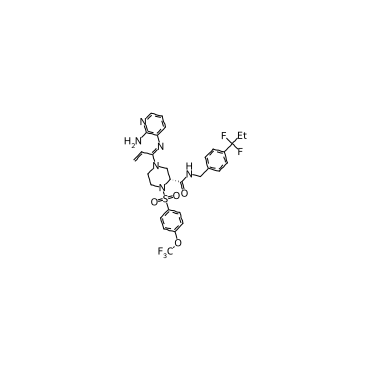 C=C/C(=N\c1cccnc1N)N1CCN(S(=O)(=O)c2ccc(OC(F)(F)F)cc2)[C@@H](C(=O)NCc2ccc(C(F)(F)CC)cc2)C1